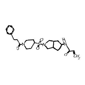 C=CC(=O)NC1CC2CN(S(=O)(=O)C3CCN(C(=O)CCc4ccccc4)CC3)CC2C1